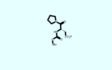 CC(C)(C)OC(=O)N[C@@H](CC(=O)O)C(=O)N1CCCC1